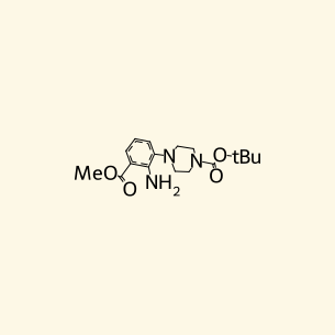 COC(=O)c1cccc(N2CCN(C(=O)OC(C)(C)C)CC2)c1N